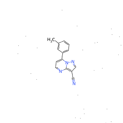 Cc1cccc(-c2ccnc3c(C#N)cnn23)c1